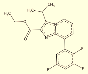 CCOC(=O)c1nc2c(-c3cc(F)cc(F)c3F)cccn2c1C(C)C